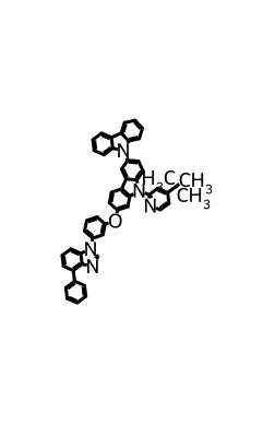 CC(C)(C)c1ccnc(-n2c3ccc(-n4c5ccccc5c5ccccc54)cc3c3ccc(Oc4cccc(-n5cnc6c(-c7ccccc7)cccc65)c4)cc32)c1